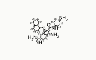 N=C(N)c1ccc2c(N)c(C(=O)N[C@H]3CC[C@H](N)CC3)n(Cc3cccc4ccccc34)c2c1